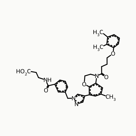 Cc1cc(-c2cnn(Cc3cccc(C(=O)NCCC(=O)O)c3)c2)c2c(c1)N(C(=O)CCCOc1cccc(C)c1C)CCO2